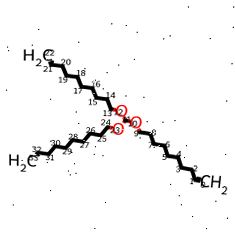 C=CCCCCCCCCOC(OCCCCCCCCC=C)OCCCCCCCCC=C